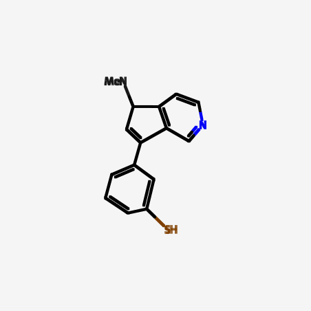 CNC1C=C(c2cccc(S)c2)c2cnccc21